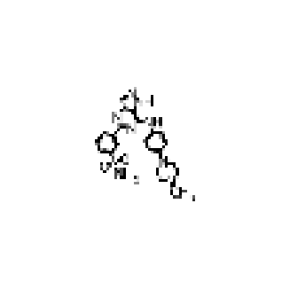 CN1CCN(c2ccc(Nc3nc(-c4cccc(S(N)(=O)=O)c4)nc4cn[nH]c34)cc2)CC1